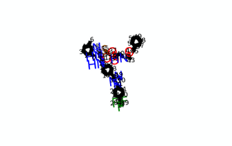 Cc1cccc(C)c1/N=C(\NC(=O)Nc1ccc(-c2ncn(-c3ccc(C(F)(F)F)cc3)n2)cc1)SCOC(=O)CNC(C)OCc1ccccc1